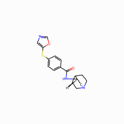 O=C(N[C@H]1CN2CCC1CC2)c1ccc(Sc2cnco2)cc1